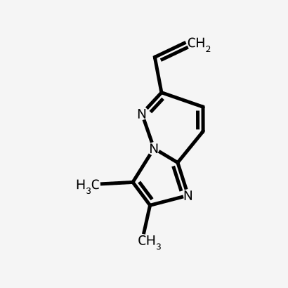 C=Cc1ccc2nc(C)c(C)n2n1